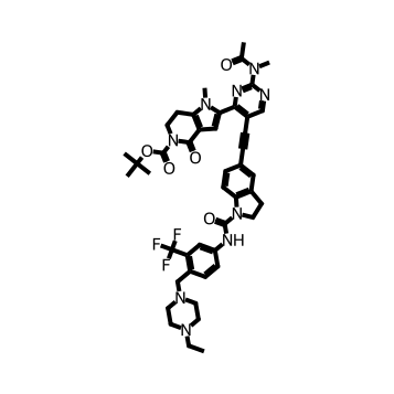 CCN1CCN(Cc2ccc(NC(=O)N3CCc4cc(C#Cc5cnc(N(C)C(C)=O)nc5-c5cc6c(n5C)CCN(C(=O)OC(C)(C)C)C6=O)ccc43)cc2C(F)(F)F)CC1